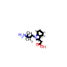 CC(C)(N)CCn1cc(CC(=O)O)c2ccccc21